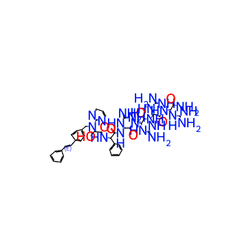 N=C(N)NC(NC(=O)C(NC(=N)N)NC(=O)C(NC(=N)N)NC(=O)C(NC(=N)N)NC(=O)C(NC(=O)C(O)N(Cc1ccc(/C=C/c2ccccc2)cc1)c1ncccn1)c1ccccc1)C(N)=O